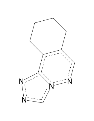 c1nn2cnnc2c2c1CCCC2